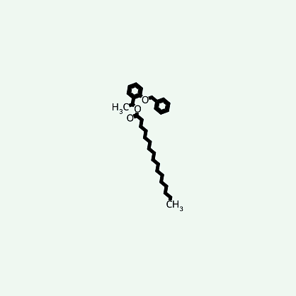 CCCCCCCCCCCCCCCCC(=O)OC(C)c1ccccc1OCc1ccccc1